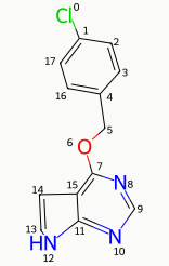 Clc1ccc(COc2ncnc3[nH]ccc23)cc1